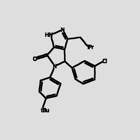 CC(C)Cc1n[nH]c2c1C(c1cccc(Cl)c1)N(c1ccc(C(C)(C)C)cc1)C2=O